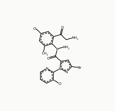 Cc1cc(Cl)cc(C(=O)CN)c1N(N)C(=O)c1cc(Br)nn1-c1ncccc1Cl